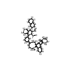 C=Cc1c(C=C)c(-c2ccc3ccccc3c2)c2c(c1-c1cccc(-c3cccsc4c5ccccc5c5c6c(sc5c4cc3)C=CCC6)c1)=CCCC=2